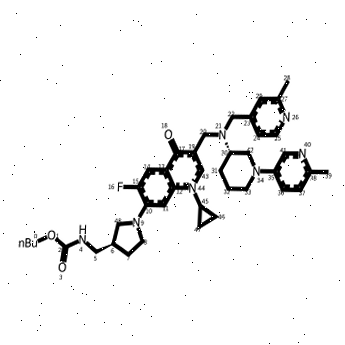 CCCCOC(=O)NC[C@@H]1CCN(c2cc3c(cc2F)c(=O)c(CN(Cc2ccnc(C)c2)[C@H]2CCCN(c4ccc(C)nc4)C2)cn3C2CC2)C1